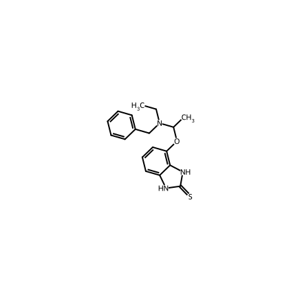 CCN(Cc1ccccc1)C(C)Oc1cccc2[nH]c(=S)[nH]c12